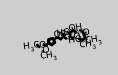 CCOC(OCC)c1ccc(C(=O)CC(=O)C[C@H]2CO[C@@H](C[C@@H]3O[C@H]3[C@@H](C)[C@H](C)O)[C@H](O)[C@@H]2O)cc1